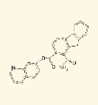 NC(=O)c1c(C(=O)Oc2ccc3cccnc3c2)ccc2c1Cc1ccccc1-2